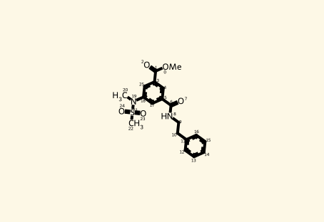 COC(=O)c1cc(C(=O)NCCc2ccccc2)cc(N(C)S(C)(=O)=O)c1